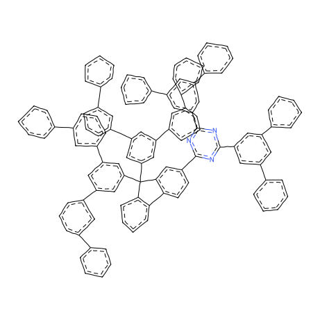 c1ccc(-c2cccc(-c3cc(-c4cccc(-c5ccccc5)c4)cc(C4(c5cc(-c6cccc(-c7ccccc7)c6)cc(-c6cccc(-c7ccccc7)c6)c5)c5ccccc5-c5ccc(-c6nc(-c7cc(-c8ccccc8)cc(-c8ccccc8)c7)nc(-c7cc(-c8ccccc8)cc(-c8ccccc8)c7)n6)cc54)c3)c2)cc1